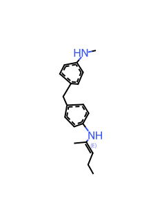 CC/C=C(\C)Nc1ccc(Cc2ccc(NC)cc2)cc1